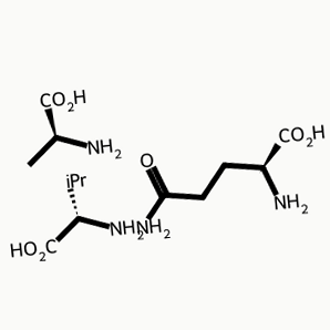 CC(C)[C@H](N)C(=O)O.C[C@H](N)C(=O)O.NC(=O)CC[C@H](N)C(=O)O